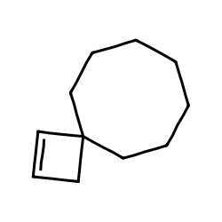 C1=CC2(C1)CCCCCCC2